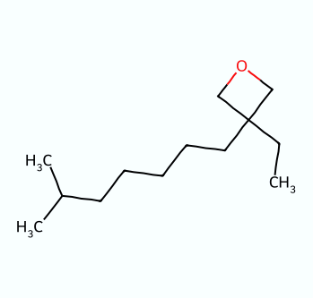 CCC1(CCCCCC(C)C)COC1